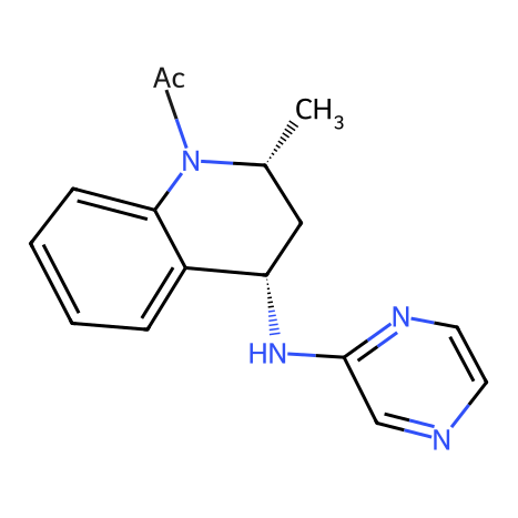 CC(=O)N1c2ccccc2[C@@H](Nc2cnccn2)C[C@H]1C